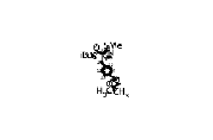 CCC(C)OC(=O)c1c(SC)ncn1Cc1ccc(B2OCC(C)(C)O2)cc1